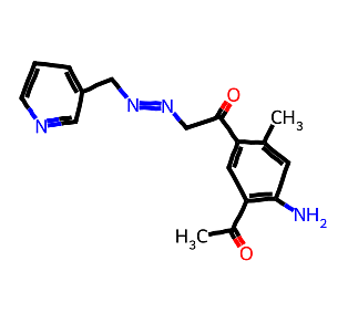 CC(=O)c1cc(C(=O)CN=NCc2cccnc2)c(C)cc1N